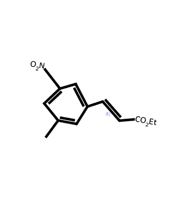 CCOC(=O)/C=C/c1cc(C)cc([N+](=O)[O-])c1